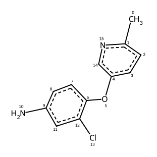 Cc1ccc(Oc2ccc(N)cc2Cl)cn1